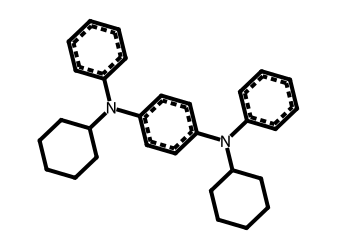 c1ccc(N(c2ccc(N(c3ccccc3)C3CCCCC3)cc2)C2CCCCC2)cc1